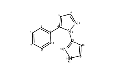 c1ccc(-c2ccnn2-c2cc[nH]n2)cc1